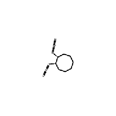 [N-]=[N+]=N[C@H]1CCCCCC[C@H]1N=[N+]=[N-]